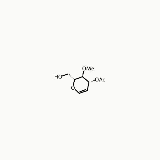 CO[C@H]1[C@H](OC(C)=O)C=CO[C@@H]1CO